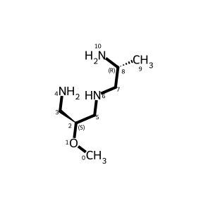 CO[C@@H](CN)CNC[C@@H](C)N